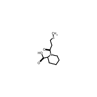 CSCCC(=O)N1CCCCC1C(=O)O